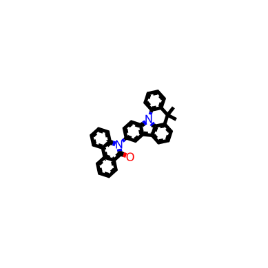 CC1(C)c2ccccc2-n2c3ccc(-n4c(=O)c5ccccc5c5ccccc54)cc3c3cccc1c32